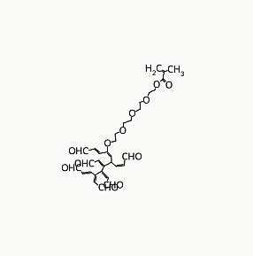 C=C(C)C(=O)OCCOCCOCCOCCOC(/C=C/C=O)=C/C(/C=C\C=O)C(=C/C=O)/C(=C/C=O)C(=C\C=O)/C=C/C=O